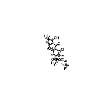 Cc1nn(C)c(O)c1C(=O)c1ccc(S(C)(=O)=O)c(COCC(F)(F)F)c1Cl